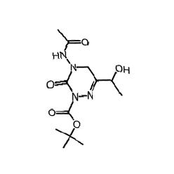 CC(=O)NN1CC(C(C)O)=NN(C(=O)OC(C)(C)C)C1=O